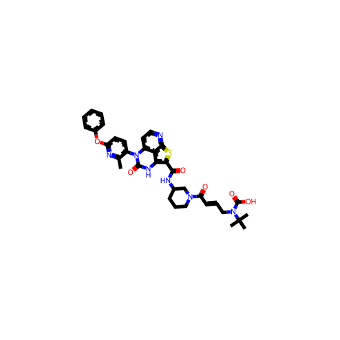 Cc1nc(Oc2ccccc2)ccc1N1C(=O)Nc2c(C(=O)NC3CCCN(C(=O)C=CCN(C(=O)O)C(C)(C)C)C3)sc3nccc1c23